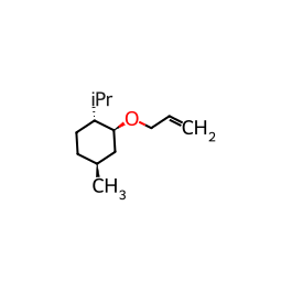 C=CCO[C@H]1C[C@@H](C)CC[C@@H]1C(C)C